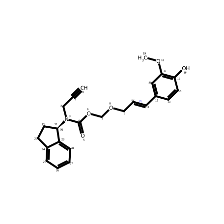 C#CCN(C(=O)OCOC/C=C/c1ccc(O)c(OC)c1)[C@@H]1CCc2ccccc21